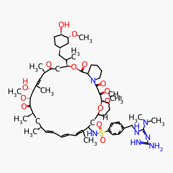 CO[C@@H]1C[C@@H](CC(C)[C@@H]2CC(=O)[C@H](C)/C=C(\C)[C@@H](O)[C@@H](OC)C(=O)[C@H](C)C[C@H](C)/C=C/C=C/C=C(/C)C(NS(=O)(=O)c3ccc(CN/C(=N\C(=N)N)N(C)C)cc3)C[C@@H]3CC[C@@H](C)[C@@](OC)(O3)C(=O)C(=O)N3CCCCC3C(=O)O2)CC[C@H]1O